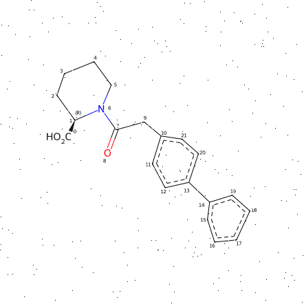 O=C(O)[C@H]1CCCCN1C(=O)Cc1ccc(-c2ccccc2)cc1